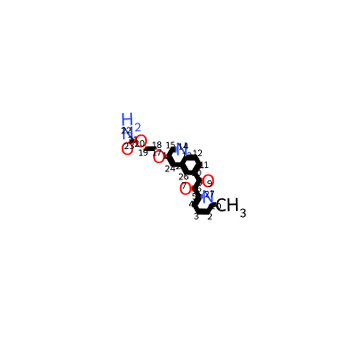 Cc1cccc(C(=O)C(=O)c2ccc3ncc(OCCOC(N)=O)cc3c2)n1